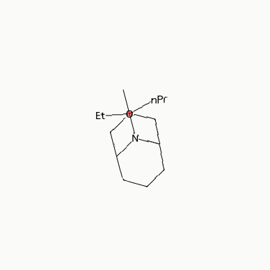 CCCC(C)(CC)N1C2CCCC1COC2